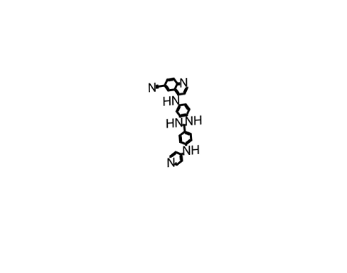 N#Cc1ccc2nccc(Nc3ccc4c(c3)NC(c3ccc(Nc5ccncc5)cc3)N4)c2c1